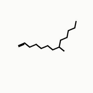 C=CCCCCCC(C)CCCCC